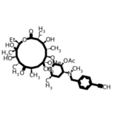 C#Cc1ccc(CN(C)[C@H]2C[C@@H](C)O[C@@H](O[C@@H]3[C@@H](C)[C@H](O)[C@@H](C)C(=O)O[C@H](CC)[C@@](C)(O)[C@H](O)[C@@H](C)C(=O)[C@H](C)C[C@@]3(C)OC)[C@H]2OC(C)=O)cc1